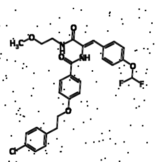 COCCNC(=O)/C(=C/c1ccc(OC(F)F)cc1)NC(=O)c1ccc(OCCc2ccc(Cl)cc2)cc1